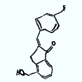 O=C1C(=Cc2ccc(F)cc2)Cc2c(O)cccc21